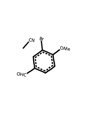 CC#N.COc1ccc(C=O)cc1Br